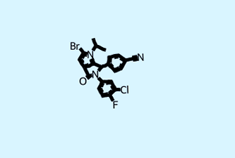 CC(C)n1c(Br)cc2c1C(c1ccc(C#N)cc1)N(c1ccc(F)c(Cl)c1)C2=O